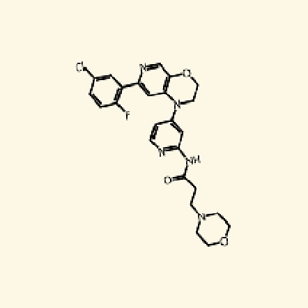 O=C(CCN1CCOCC1)Nc1cc(N2CCOc3cnc(-c4cc(Cl)ccc4F)cc32)ccn1